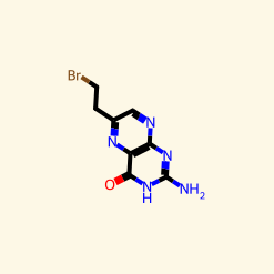 Nc1nc2ncc(CCBr)nc2c(=O)[nH]1